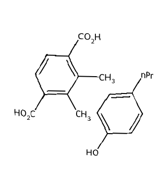 CCCc1ccc(O)cc1.Cc1c(C(=O)O)ccc(C(=O)O)c1C